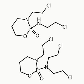 O=P1(N(CCCl)CCCl)OCCCN1CCCl.O=P1(NCCCl)OCCCN1CCCl